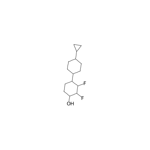 OC1CCC(C2CCC(C3CC3)CC2)C(F)C1F